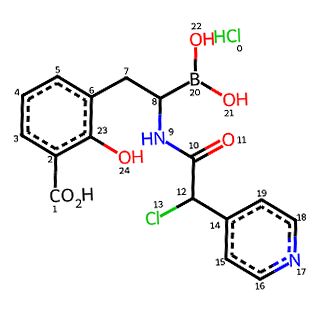 Cl.O=C(O)c1cccc(CC(NC(=O)C(Cl)c2ccncc2)B(O)O)c1O